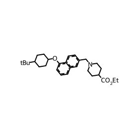 CCOC(=O)C1CCN(Cc2ccc3c(OC4CCC(C(C)(C)C)CC4)cccc3c2)CC1